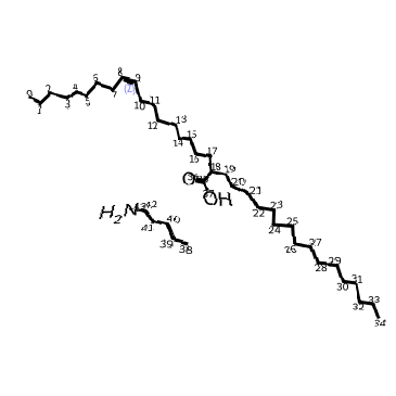 CCCCCCCC/C=C\CCCCCCCCC(CCCCCCCCCCCCCCCC)C(=O)O.CCCCCN